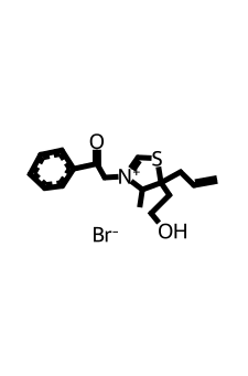 C=CCC1(CCO)SC=[N+](CC(=O)c2ccccc2)C1C.[Br-]